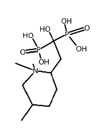 CC1CCC(CC(O)(P(=O)(O)O)P(=O)(O)O)[N+](C)(C)C1